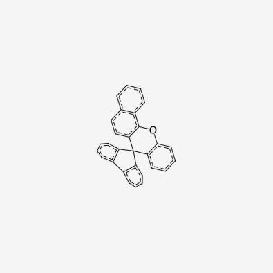 c1ccc2c(c1)Oc1c(ccc3ccccc13)C21c2ccccc2-c2ccccc21